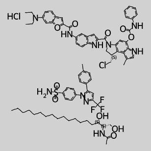 CCCCCCCCCCCCCCC[C@H](O)[C@H](CO)NC(C)=O.CCN(CC)c1ccc2cc(C(=O)Nc3ccc4[nH]c(C(=O)N5C[C@@H](CCl)c6c5cc(OC(=O)Nc5ccccc5)c5[nH]cc(C)c65)cc4c3)oc2c1.Cc1ccc(-c2cc(C(F)(F)F)nn2-c2ccc(S(N)(=O)=O)cc2)cc1.Cl